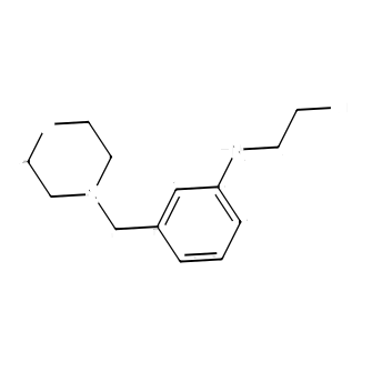 OCCNc1cccc(CN2CCOCC2)c1